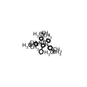 C[Si](C)(C)c1ccc(N2c3ccccc3B3c4cc([Si](C)(C)C)ccc4N(c4ccc([Si](C)(C)C)cc4)c4cc(C5CCCCC5)cc2c43)cc1